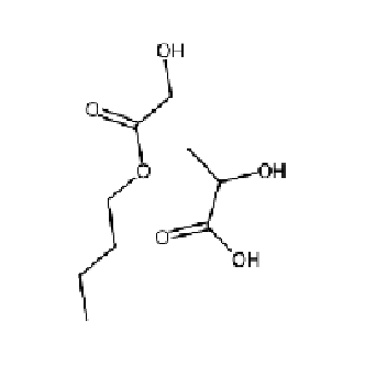 CC(O)C(=O)O.CCCCOC(=O)CO